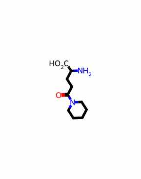 NC(CCC(=O)N1CCCCC1)C(=O)O